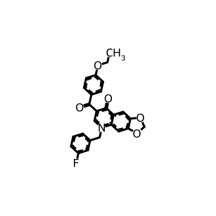 CCOc1ccc(C(=O)c2cn(Cc3cccc(F)c3)c3cc4c(cc3c2=O)OCO4)cc1